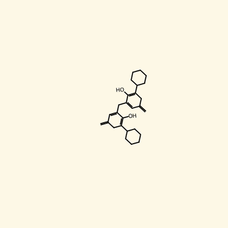 C=C1C=C(CC2=CC(=C)CC(C3CCCCC3)=C2O)C(O)=C(C2CCCCC2)C1